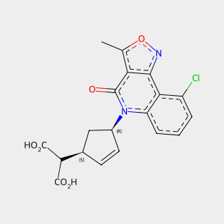 Cc1onc2c1c(=O)n([C@H]1C=C[C@@H](C(C(=O)O)C(=O)O)C1)c1cccc(Cl)c21